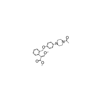 CO/C=C(/C(=O)OC)c1ccccc1COc1ccc(N2CCN(C(C)=O)CC2)cc1